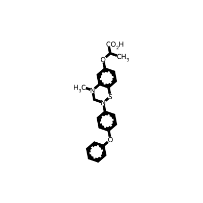 CC(Oc1ccc2c(c1)N(C)CN(c1ccc(Oc3ccccc3)cc1)S2)C(=O)O